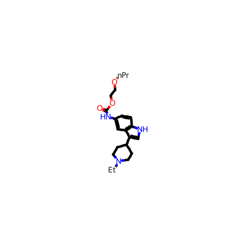 CCCOCCOC(=O)Nc1ccc2[nH]cc(C3CCN(CC)CC3)c2c1